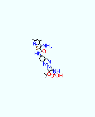 Cc1cc(C)c2c(N)c(C(=O)N[C@@H]3CCc4nc(N5C[C@H](NC(=O)O)[C@@H](OC(C)C)C5)ncc4C3)sc2n1